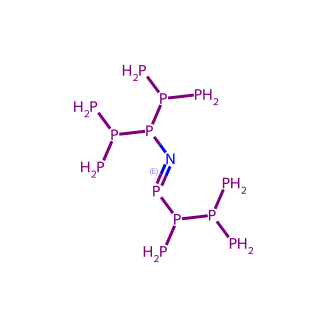 PP(P)P(P)/P=N/P(P(P)P)P(P)P